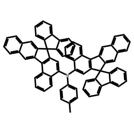 Cc1ccc(N(c2cc3c(c4ccccc24)-c2cc4ccccc4cc2C32c3ccccc3-c3ccccc32)c2cc3c(c4ccccc24)-c2cc4ccccc4cc2C32c3ccccc3-c3ccccc32)cc1